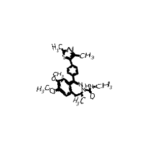 CNC(=O)N1N=C(c2ccc(-c3sc(C)nc3C)cc2)c2cc(OC)c(OC)cc2CC1C